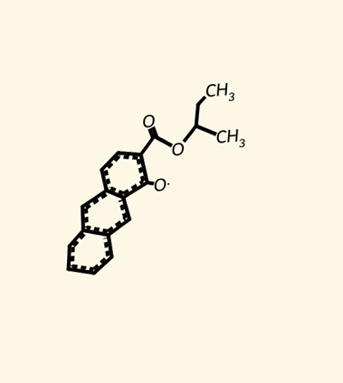 CCC(C)OC(=O)c1ccc2cc3ccccc3cc2c1[O]